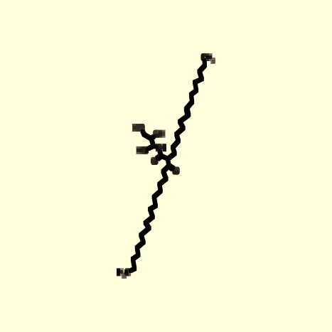 CCCCCCCCC=CCCCCCCC(C(=O)CCCCCCCCCCCCCCCCC)C(=O)PC(O)C(O)CO